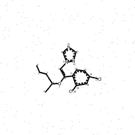 CCCC(C)OC(=Cn1cncn1)c1ccc(Cl)cc1Cl